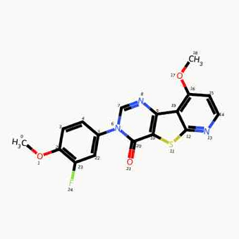 COc1ccc(-n2cnc3c(sc4nccc(OC)c43)c2=O)cc1F